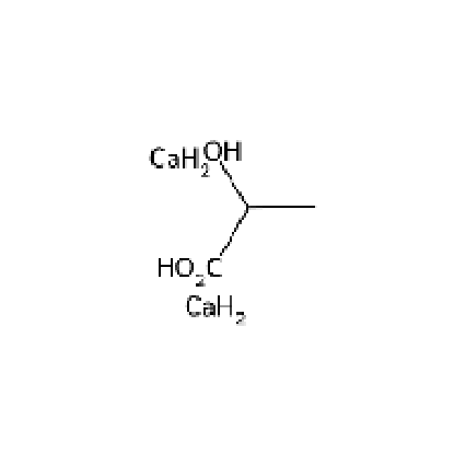 CC(O)C(=O)O.[CaH2].[CaH2]